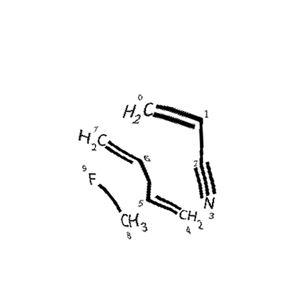 C=CC#N.C=CC=C.CF